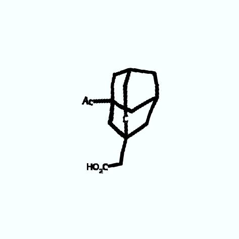 CC(=O)C12CC3CC(CC(CC(=O)O)(C3)C1)C2